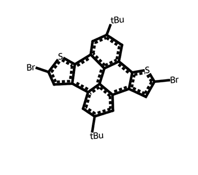 CC(C)(C)c1cc2c3cc(Br)sc3c3cc(C(C)(C)C)cc4c5sc(Br)cc5c(c1)c2c34